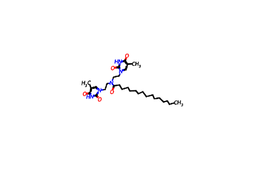 CCCCCCCCCCCCCCCC(=O)N(CCn1cc(C)c(=O)[nH]c1=O)CCn1cc(C)c(=O)[nH]c1=O